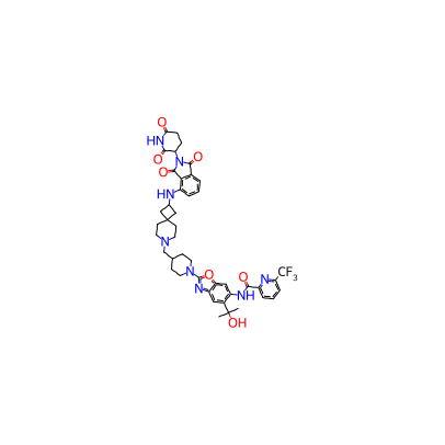 CC(C)(O)c1cc2nc(N3CCC(CN4CCC5(CC4)CC(Nc4cccc6c4C(=O)N(C4CCC(=O)NC4=O)C6=O)C5)CC3)oc2cc1NC(=O)c1cccc(C(F)(F)F)n1